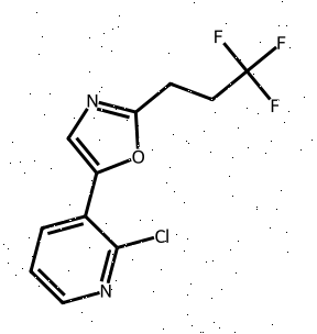 FC(F)(F)CCc1ncc(-c2cccnc2Cl)o1